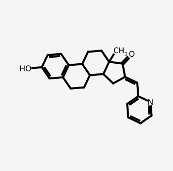 CC12CCC3c4ccc(O)cc4CCC3C1CC(=Cc1ccccn1)C2=O